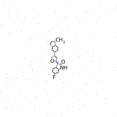 CC1C=Cc2cc(C3=C/C(=C4\C(=O)Nc5cc(F)ccc54)OC3)ccc21